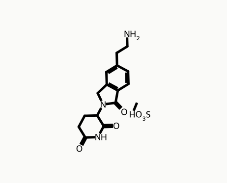 CS(=O)(=O)O.NCCc1ccc2c(c1)CN(C1CCC(=O)NC1=O)C2=O